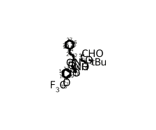 CC(C)(C)OC(=O)[C@H](CC=O)N(NS(=O)(=O)c1cccc(OC(F)(F)F)c1)C(=O)CCC1CCCCC1